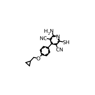 N#Cc1c(N)nc(S)c(C#N)c1-c1ccc(OCC2CC2)cc1